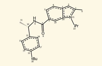 Cc1cc2ccc(C(=O)N[C@@H](C)c3ccc(C(C)(C)C)cc3)cc2n1C(C)C